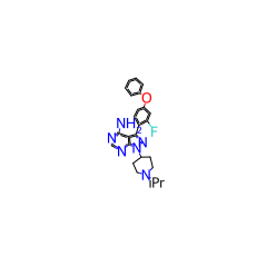 CC(C)N1CCC(n2nc(-c3ccc(Oc4ccccc4)cc3F)c3c(N)ncnc32)CC1